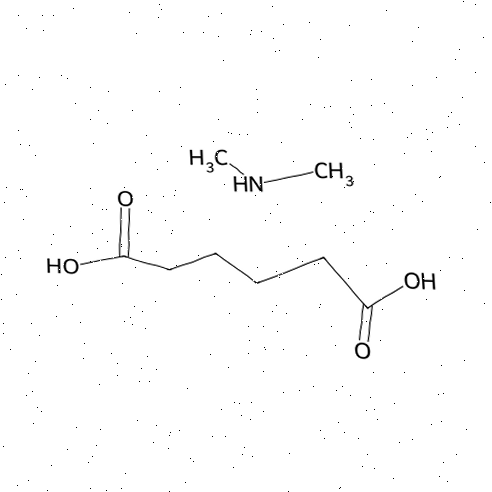 CNC.O=C(O)CCCCC(=O)O